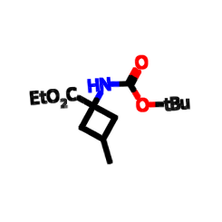 CCOC(=O)C1(NC(=O)OC(C)(C)C)CC(C)C1